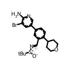 CC(C)(C)[S+]([O-])/N=C/c1cc(-c2cnc(N)c(Br)c2)ccc1C1CCOCC1